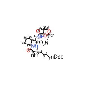 CCCCCCCCCCCCCCCCC(CCC)C(=O)N[C@H]1CCCC[C@H]1C(CNC(=O)C1OC(C)(C)OCC1(C)C)C(=O)O